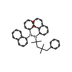 CC(C)(Cc1ccccc1)CC(C)(C)N(c1cccc2ccccc12)N(c1ccccc1)c1cccc2ccccc12